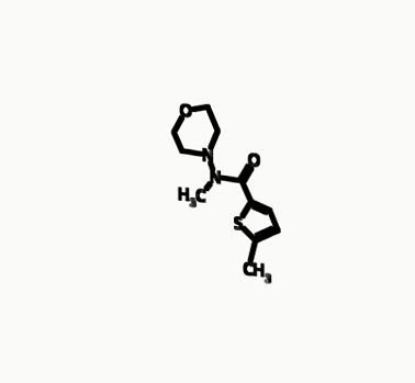 Cc1ccc(C(=O)N(C)N2CCOCC2)s1